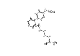 CCCCCCCCOc1ccc(-c2ncccc2OCCCC[C@@H](F)CCC)cc1